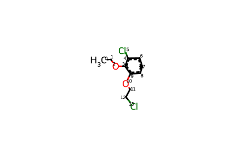 CCOc1c(Cl)c[c]cc1OCCCl